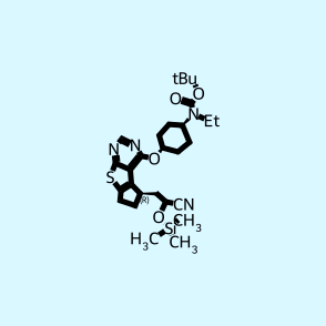 CCN(C(=O)OC(C)(C)C)[C@H]1CC[C@@H](Oc2ncnc3sc4c(c23)[C@@H](CC(C#N)O[Si](C)(C)C)CC4)CC1